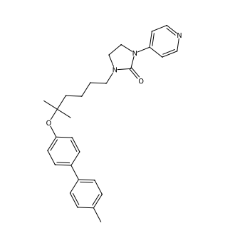 Cc1ccc(-c2ccc(OC(C)(C)CCCCN3CCN(c4ccncc4)C3=O)cc2)cc1